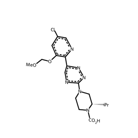 COCOc1cc(Cl)cnc1-c1cnc(N2CCN(C(=O)O)[C@@H](C(C)C)C2)nn1